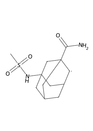 CS(=O)(=O)NC12CC3[CH]C(C(N)=O)(CC(C3)C1)C2